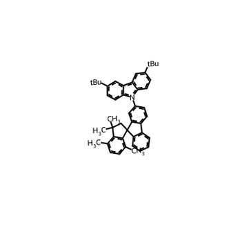 Cc1ccc(C)c2c1C(C)(C)CC21c2ccccc2-c2ccc(-n3c4ccc(C(C)(C)C)cc4c4cc(C(C)(C)C)ccc43)cc21